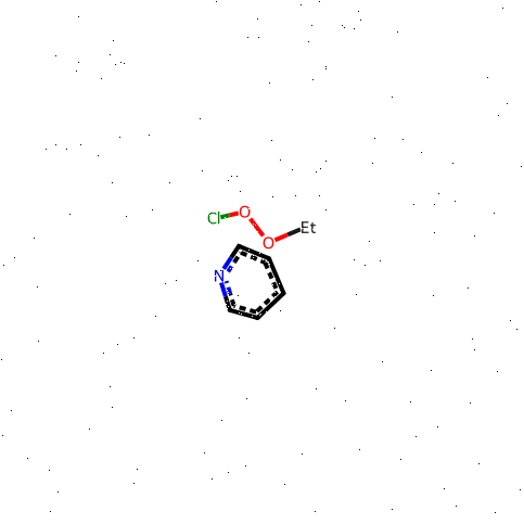 CCOOCl.c1ccncc1